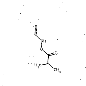 CC(C)C(=O)ONC=S